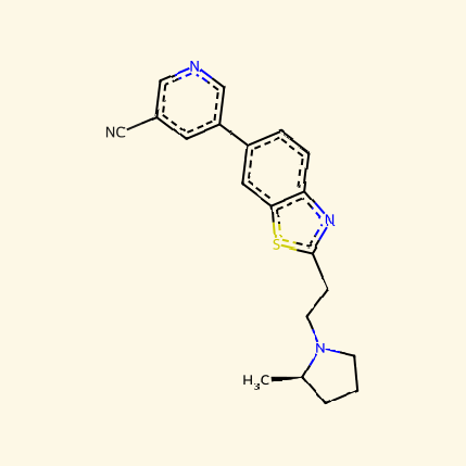 C[C@@H]1CCCN1CCc1nc2ccc(-c3cncc(C#N)c3)cc2s1